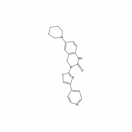 O=C1Nc2ccc(N3CCCCC3)cc2CN1c1nc(-c2ccncc2)cs1